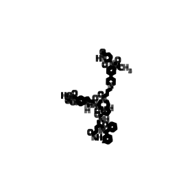 Cn1c(=O)n(C2CCC(=O)NC2=O)c2ccc(C3CCN(CCCC(=O)N4CC[C@H]5CC[C@@H](C(=O)NCC(CCC(N)=O)C(=O)NC(c6ccccc6)c6ccccc6)N5C(=O)[C@@H](NC(=O)c5cc6cc(C(=O)P(=O)(O)O)ccc6[nH]5)C4)CC3)cc21